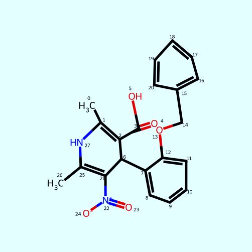 CC1=C(C(=O)O)C(c2ccccc2OCc2ccccc2)C([N+](=O)[O-])=C(C)N1